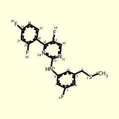 CSCc1cc(F)cc(Nc2ncc(F)c(-c3ccc(F)cc3F)n2)c1